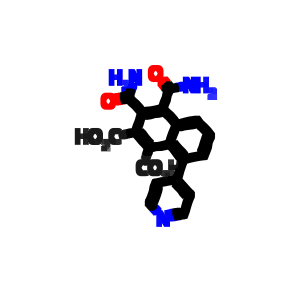 NC(=O)c1c(C(=O)O)c(C(=O)O)c2c(-c3ccncc3)cccc2c1C(N)=O